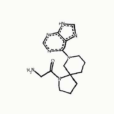 NCC(=O)N1CCCC12CCCN(c1ncnc3[nH]cnc13)C2